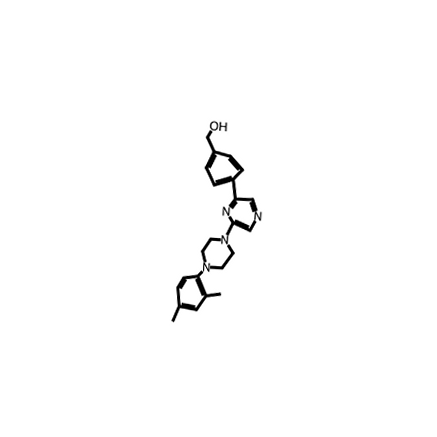 Cc1ccc(N2CCN(c3cncc(-c4ccc(CO)cc4)n3)CC2)c(C)c1